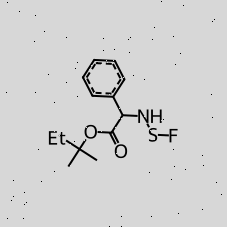 CCC(C)(C)OC(=O)C(NSF)c1ccccc1